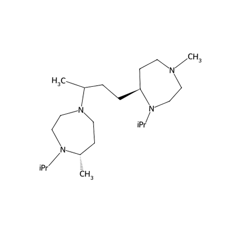 CC(CC[C@H]1CCN(C)CCN1C(C)C)N1CC[C@H](C)N(C(C)C)CC1